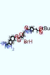 Br.CC(C)(C)OC(=O)C=Cc1ccc(C(=O)NCc2ccc(C(=O)Oc3ccc4cc(C(=N)N)ccc4c3)o2)cc1